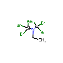 CCN([Si](Br)(Br)Br)[Si](Br)(Br)Br